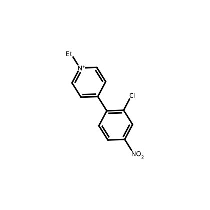 CC[n+]1ccc(-c2ccc([N+](=O)[O-])cc2Cl)cc1